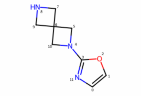 c1coc(N2CC3(CNC3)C2)n1